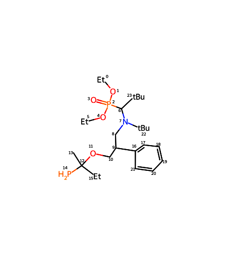 CCOP(=O)(OCC)C(N(CC(COC(C)(P)CC)c1ccccc1)C(C)(C)C)C(C)(C)C